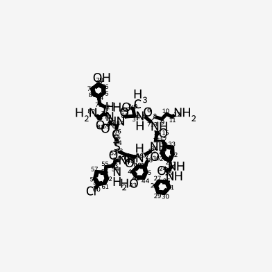 C[C@@H](O)[C@@H]1NC(=O)[C@H](CCCCN)NC(=O)[C@@H](Cc2ccc(NC(=O)Nc3ccccc3)cc2)NC(=O)[C@H](Cc2ccc(O)cc2)NC(=O)[C@H](NC(=O)[C@@H](N)Cc2ccc(Cl)cc2)CSSC[C@@H](C(=O)N[C@H](CCc2ccc(O)cc2)C(N)=O)NC1=O